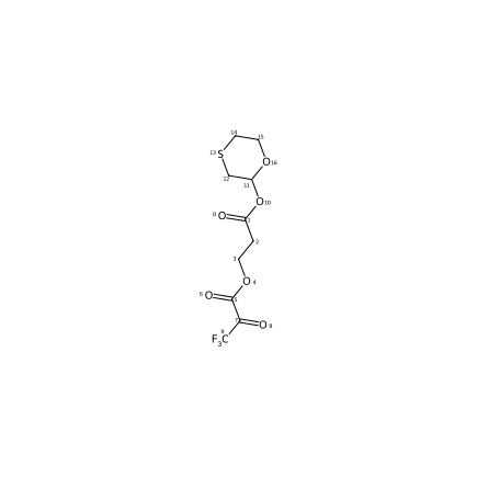 O=C(CCOC(=O)C(=O)C(F)(F)F)OC1CSCCO1